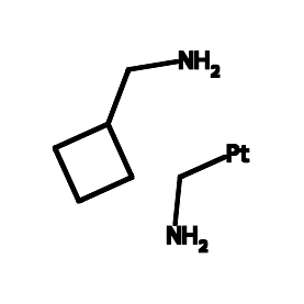 NCC1CCC1.N[CH2][Pt]